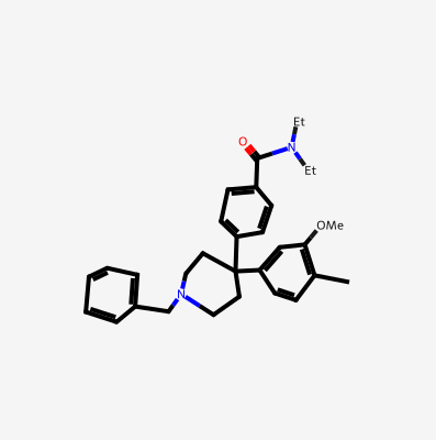 CCN(CC)C(=O)c1ccc(C2(c3ccc(C)c(OC)c3)CCN(Cc3ccccc3)CC2)cc1